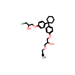 C#CCOCC(O)COc1ccc(C2(c3ccc(OCC(O)CCl)cc3)CCCCC2)cc1